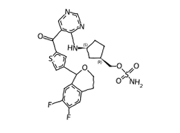 NS(=O)(=O)OC[C@@H]1CC[C@H](Nc2ncncc2C(=O)c2cc(C3OCCc4cc(F)c(F)cc43)cs2)C1